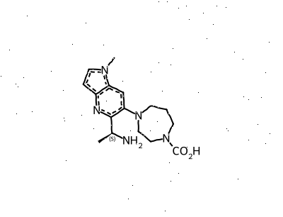 C[C@H](N)c1nc2ccn(C)c2cc1N1CCCN(C(=O)O)CC1